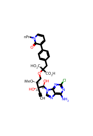 C#C[C@@](O)([C@@H](COC(Cc1ccc(-c2cccn(CCC)c2=O)cc1)(C(=O)O)C(=O)O)OC)[C@@H](O)n1cnc2c(N)nc(Cl)nc21